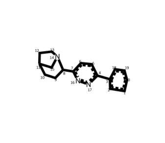 c1ccc(-c2ccc(C3CCC4CCN3C4)nn2)cc1